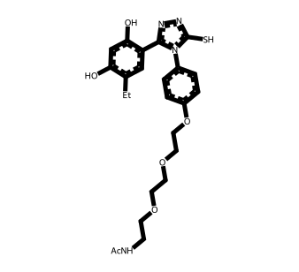 CCc1cc(-c2nnc(S)n2-c2ccc(OCCOCCOCCNC(C)=O)cc2)c(O)cc1O